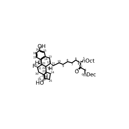 CCCCCCCCCCCC(=O)N(CCCCCCCC)CCCCCC[C@@H]1Cc2cc(O)ccc2[C@@H]2[C@@H]1[C@@H]1CC[C@H](O)[C@@]1(C)C[C@@H]2F